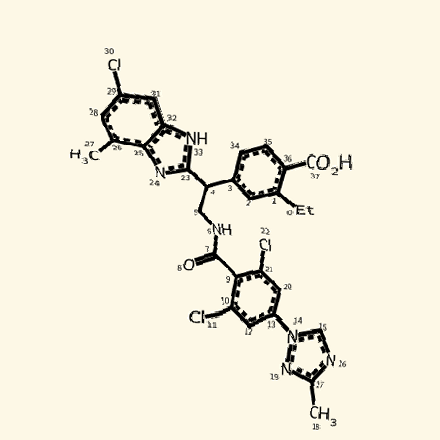 CCc1cc(C(CNC(=O)c2c(Cl)cc(-n3cnc(C)n3)cc2Cl)c2nc3c(C)cc(Cl)cc3[nH]2)ccc1C(=O)O